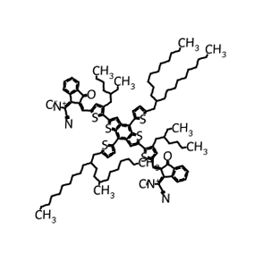 [C-]#[N+]/C(C#N)=C1\C(=Cc2cc(CC(CC)CCCC)c(-c3cc4c(-c5ccc(CC(CCCCCCCCCC)CCC(C)CCCCCCC)s5)c5sc(-c6sc(C=C7C(=O)c8ccccc8/C7=C(/C#N)[N+]#[C-])cc6CC(CC)CCCC)cc5c(-c5ccc(CC(CCCCCCCCCC)CCCCCCCCCC)s5)c4s3)s2)C(=O)c2ccccc21